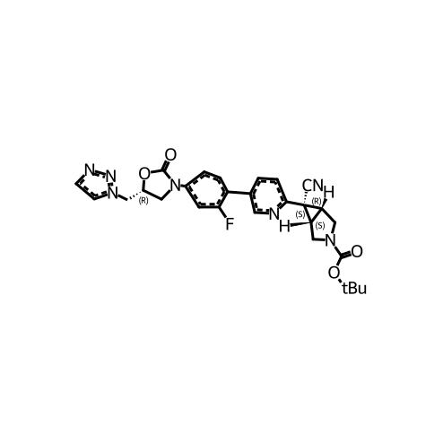 CC(C)(C)OC(=O)N1C[C@@H]2[C@H](C1)[C@@]2(C#N)c1ccc(-c2ccc(N3C[C@H](Cn4ccnn4)OC3=O)cc2F)cn1